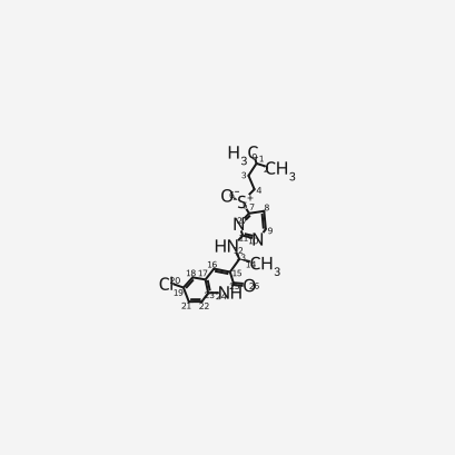 CC(C)CC[S@+]([O-])c1ccnc(N[C@@H](C)c2cc3cc(Cl)ccc3[nH]c2=O)n1